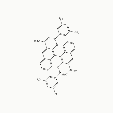 COC(=O)c1cc2ccccc2c(-c2c(OPc3cc(C(F)(F)F)cc(C(F)(F)F)c3)c(C(=O)OC)cc3ccccc23)c1OPc1cc(C(F)(F)F)cc(C(F)(F)F)c1